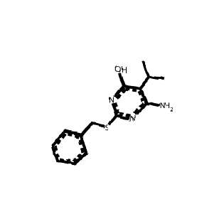 CC(C)c1c(N)nc(SCc2ccccc2)nc1O